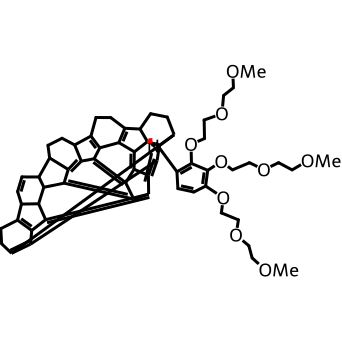 COCCOCCOc1ccc(C2N(C)CC34c5c6c7c8c9c%10c%11c7c7c5=C5CCC=7C%11CCC%10C7C=CC%10C%11=c%12c(c-8c-6c6c%12=C(CC%11)C(CCC53)C624)C%10C97)c(OCCOCCOC)c1OCCOCCOC